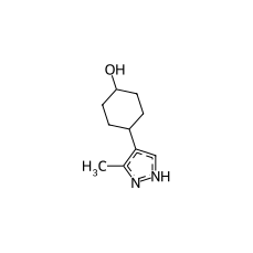 Cc1n[nH]cc1C1CCC(O)CC1